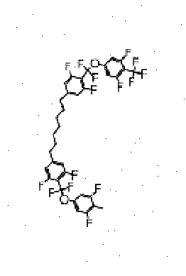 Cc1c(F)cc(OC(F)(F)c2c(F)cc(CCCCCCCc3cc(F)c(C(F)(F)Oc4cc(F)c(C(F)(F)F)c(F)c4)c(F)c3)cc2F)cc1F